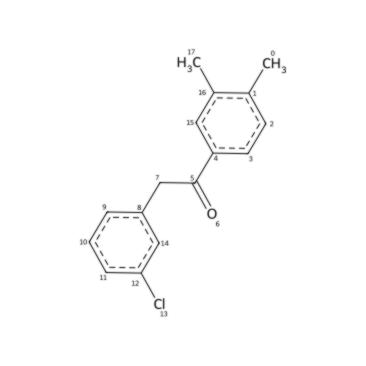 Cc1ccc(C(=O)Cc2cccc(Cl)c2)cc1C